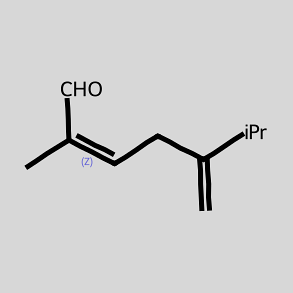 C=C(C/C=C(/C)C=O)C(C)C